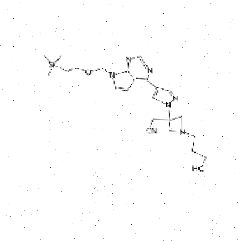 C[Si](C)(C)CCOCn1ccc2c(-c3cnn(C4(CC#N)CN(CCCO)C4)c3)ncnc21